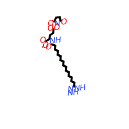 COC(=O)C(CCC(=O)ON1C(=O)CCC1=O)NC(=O)CCCCCCCCCCCCCCCC(=N)N=N